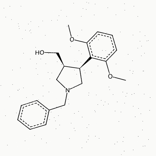 COc1cccc(OC)c1[C@H]1CN(Cc2ccccc2)C[C@H]1CO